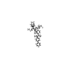 COCc1ccc(C(=O)Nc2ccc(-c3ccccc3)cc2)cc1NC(=O)[C@@H](C)N1CC2CCC(C1)O2